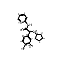 O=C(Nc1ccccn1)C(SC1CCCC1)c1ccc(F)c(F)c1